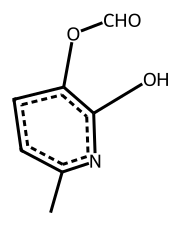 Cc1ccc(OC=O)c(O)n1